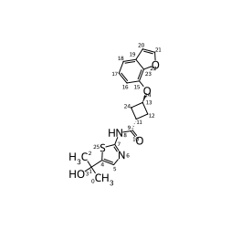 CC(C)(O)c1cnc(NC(=O)[C@H]2C[C@H](Oc3cccc4ccoc34)C2)s1